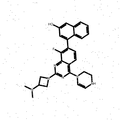 CN(C)C1CN(c2nc(N3C=CNCC3)c3ccc(-c4cc(O)cc5ccccc45)c(F)c3n2)C1